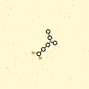 Brc1cc(Br)cc(-c2ccc(-c3ccc(N(c4ccccc4)c4ccc(-c5ccccc5)cc4)cc3)cc2)c1